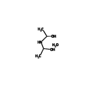 CC(O)NC(C)O.O